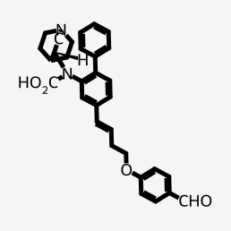 O=Cc1ccc(OCC/C=C/c2ccc(-c3ccccc3)c(N(C(=O)O)[C@H]3CN4CCC3CC4)c2)cc1